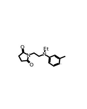 CCN(CCN1C(=O)CCC1=O)c1cc[c]c(C)c1